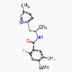 CNc1cc(F)c(C(=O)NC(C)Cc2ccc(C)cn2)cc1C